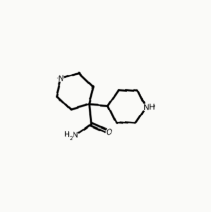 NC(=O)C1(C2CCNCC2)CC[N]CC1